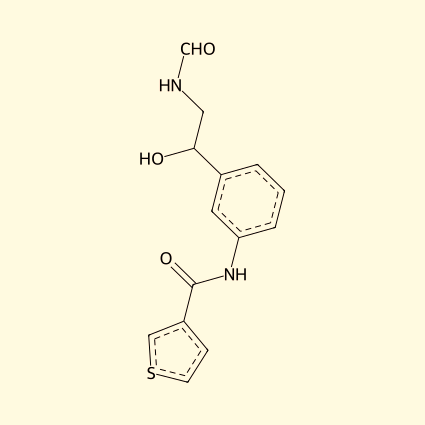 O=CNCC(O)c1cccc(NC(=O)c2ccsc2)c1